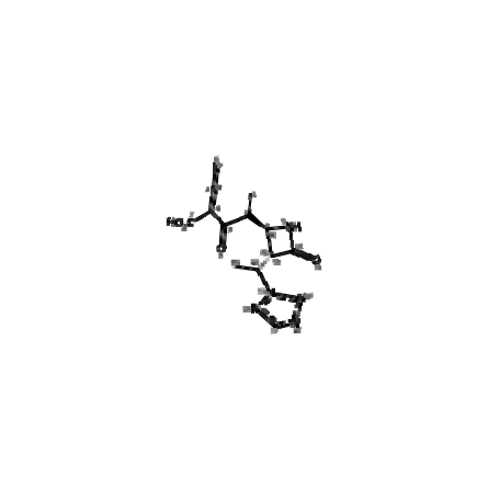 CC(C(=O)C(=[N+]=[N-])C(=O)O)[C@H]1NC(=O)[C@@H]1C(C)n1ncnn1